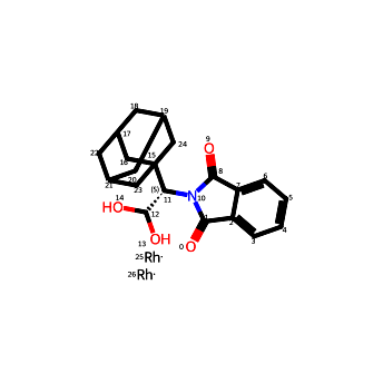 O=C1c2ccccc2C(=O)N1[C@H](C(O)O)C12CC3CC(CC(C3)C1)C2.[Rh].[Rh]